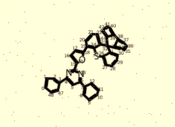 c1ccc(-c2cc(-c3ccccc3)nc(-c3ccc(-c4cccc5c4Sc4ccccc4C54c5ccccc5-c5ccccc54)o3)n2)cc1